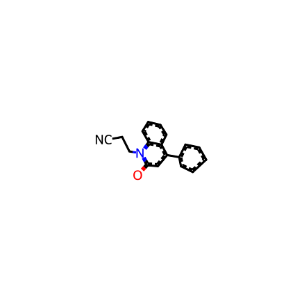 N#CCCn1c(=O)cc(-c2ccccc2)c2ccccc21